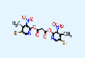 Cc1c(Br)cnc(OC(=O)CC(=O)Oc2ncc(Br)c(C)c2[N+](=O)[O-])c1[N+](=O)[O-]